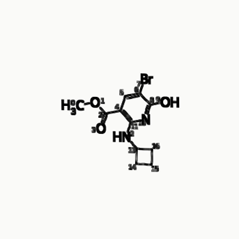 COC(=O)c1cc(Br)c(O)nc1NC1CCC1